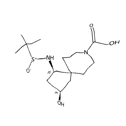 CC(C)(C)[S+]([O-])N[C@@H]1C[C@H](O)CC12CCN(C(=O)O)CC2